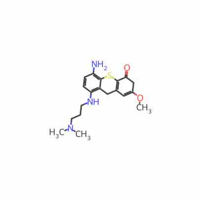 COC1=CC2=C(Sc3c(N)ccc(NCCCN(C)C)c3C2)C(=O)C1